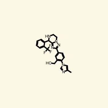 Cc1cn(-c2ccc(-c3nc4n(n3)CCNC4c3ccccc3C(F)(F)F)cc2CO)cn1